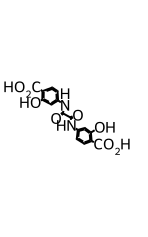 O=C(Nc1ccc(C(=O)O)c(O)c1)C(=O)Nc1ccc(C(=O)O)c(O)c1